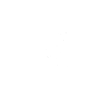 COC(=O)C(CC(=O)OC(C)(C)C)NC=O